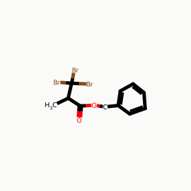 CC(C(=O)OCc1ccccc1)C(Br)(Br)Br